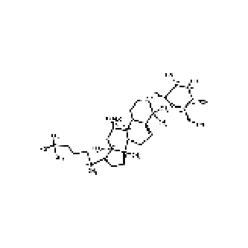 C[C@H](CCCC(C)(C)O)C1CC[C@@]2(C)C3CC=C4C(CC[C@H](O[C@@H]5O[C@H](CO)[C@@H](O)[C@H](O)[C@H]5O)C4(C)C)[C@]3(C)[C@H](O)C[C@]12C